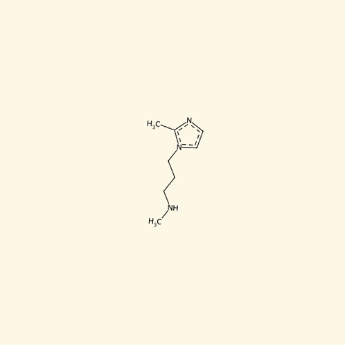 CNCCCn1ccnc1C